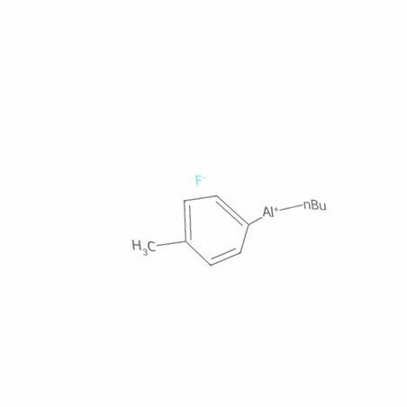 CCC[CH2][Al+][c]1ccc(C)cc1.[F-]